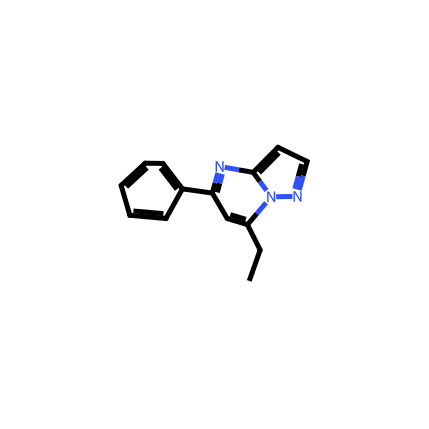 CCc1cc(-c2ccccc2)nc2ccnn12